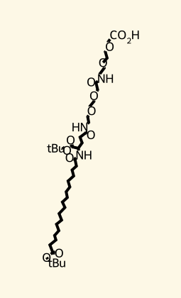 CC(C)(C)OC(=O)CCCCCCCCCCCCCCCCC(=O)NC(CCC(=O)NCCOCCOCC(=O)NCCOCCOCC(=O)O)C(=O)OC(C)(C)C